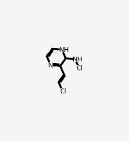 Cl/C=C/C1=NC=CNC1NCl